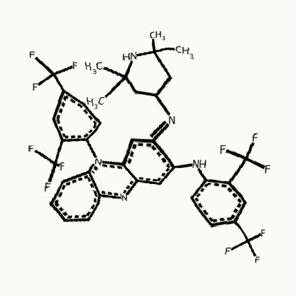 CC1(C)CC(N=c2cc3n(-c4ccc(C(F)(F)F)cc4C(F)(F)F)c4ccccc4nc-3cc2Nc2ccc(C(F)(F)F)cc2C(F)(F)F)CC(C)(C)N1